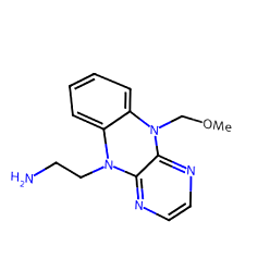 COCN1c2ccccc2N(CCN)c2nccnc21